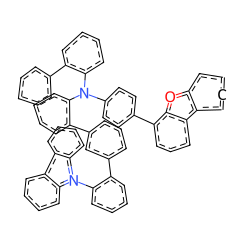 c1ccc(-c2ccccc2N(c2ccc(-c3cccc4c3oc3ccccc34)cc2)c2ccccc2-c2cccc(-c3ccccc3-n3c4ccccc4c4ccccc43)c2)cc1